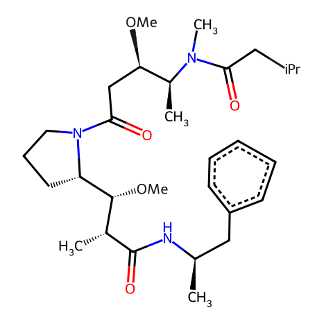 CO[C@H]([C@@H](C)C(=O)N[C@H](C)Cc1ccccc1)[C@@H]1CCCN1C(=O)C[C@@H](OC)[C@H](C)N(C)C(=O)CC(C)C